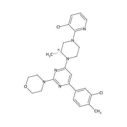 Cc1ccc(-c2cc(N3CCN(c4ncccc4Cl)C[C@H]3C)nc(N3CCOCC3)n2)cc1Cl